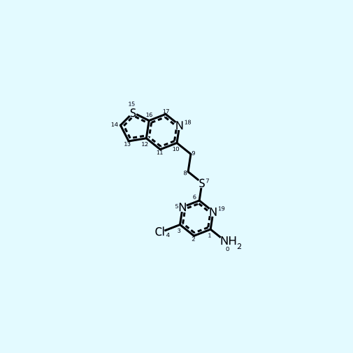 Nc1cc(Cl)nc(SCCc2cc3ccsc3cn2)n1